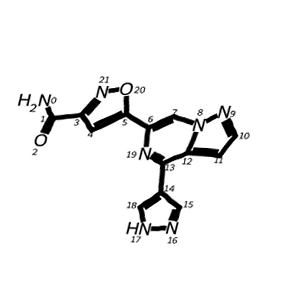 NC(=O)c1cc(-c2cn3nccc3c(-c3cn[nH]c3)n2)on1